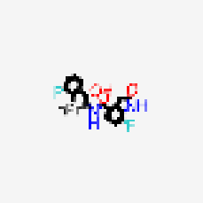 CCC[C@@H](NC(=O)c1ccc(F)c2c1CC(=O)N2)[C@@H](O)c1cccc(F)c1C